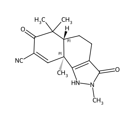 Cn1[nH]c2c(c1=O)CC[C@H]1C(C)(C)C(=O)C(C#N)=C[C@]21C